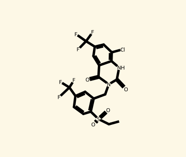 CCS(=O)(=O)c1ccc(C(F)(F)F)cc1Cn1c(=O)[nH]c2c(Cl)cc(C(F)(F)F)cc2c1=O